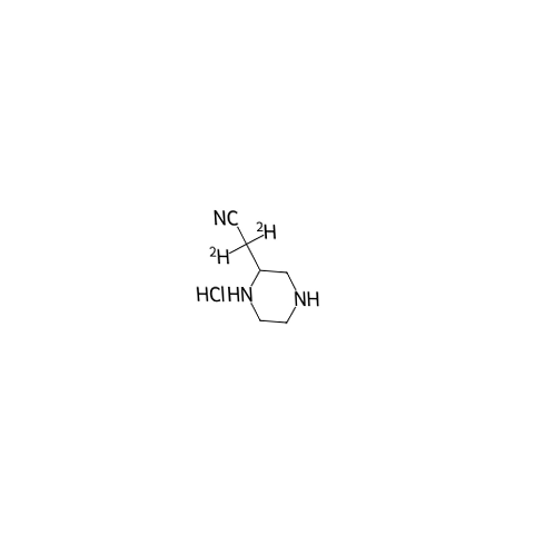 Cl.[2H]C([2H])(C#N)C1CNCCN1